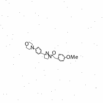 COc1ccc(CC(=O)N2CCC(c3ccc(N4CCOCC4)cc3)=N2)cc1